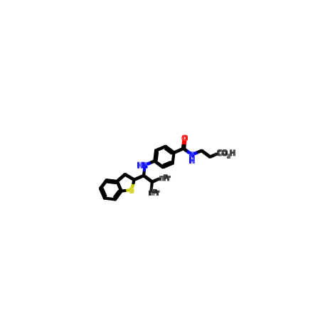 CCCC(CCC)C(Nc1ccc(C(=O)NCCC(=O)O)cc1)C1Cc2ccccc2S1